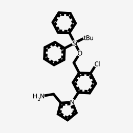 CC(C)(C)[Si](OCc1cc(-n2cccc2CN)ccc1Cl)(c1ccccc1)c1ccccc1